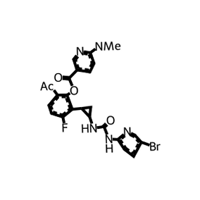 CNc1ccc(C(=O)Oc2c(C(C)=O)ccc(F)c2C2CC2NC(=O)Nc2ccc(Br)cn2)cn1